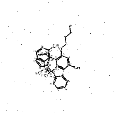 CCCCOc1cc(O)cc(C(O)(c2ccccc2)c2ccccc2)c1-c1c(Cl)cccc1[N+](=O)[O-]